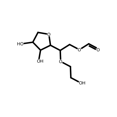 O=COCC(OCCO)C1OCC(O)C1O